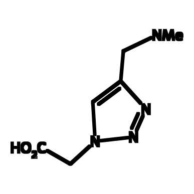 CNCc1cn(CC(=O)O)nn1